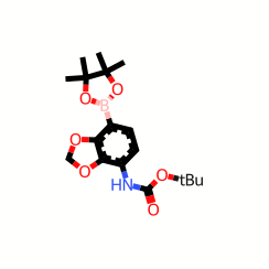 CC(C)(C)OC(=O)Nc1ccc(B2OC(C)(C)C(C)(C)O2)c2c1OCO2